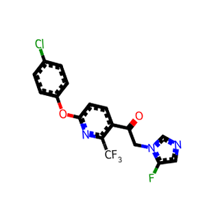 O=C(Cn1cncc1F)c1ccc(Oc2ccc(Cl)cc2)nc1C(F)(F)F